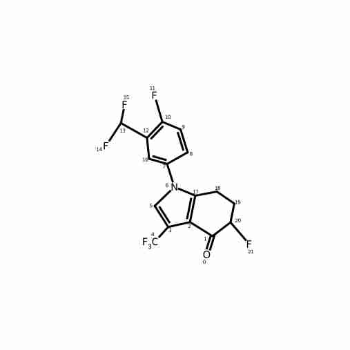 O=C1c2c(C(F)(F)F)cn(-c3ccc(F)c(C(F)F)c3)c2CCC1F